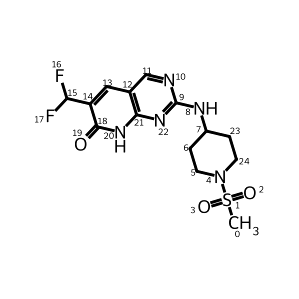 CS(=O)(=O)N1CCC(Nc2ncc3cc(C(F)F)c(=O)[nH]c3n2)CC1